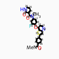 CNC(=O)c1ccc(-c2cc3nccc(Oc4ccc(N(C)C(=O)c5ccc[nH]c5=O)cc4F)c3s2)cc1